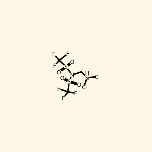 O=S(=O)(N(C[SiH](Cl)Cl)S(=O)(=O)C(F)(F)F)C(F)(F)F